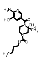 CCCCOC(=O)N1CCN(C(=O)c2cnc(N)c(O)c2)C(C)(C)C1